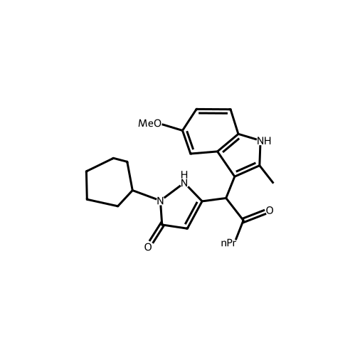 CCCC(=O)C(c1cc(=O)n(C2CCCCC2)[nH]1)c1c(C)[nH]c2ccc(OC)cc12